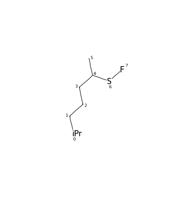 CC(C)CCCC(C)SF